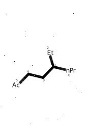 CCCC(CC)CCC(C)=O